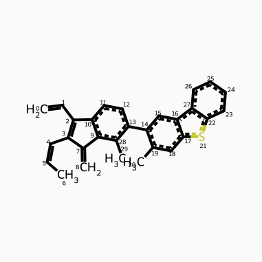 C=CC1=C(/C=C\C)C(=C)c2c1ccc(-c1cc3c(cc1C)sc1ccccc13)c2C